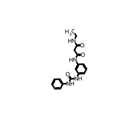 CCNC(=O)CC(=O)Nc1cccc(NC(=O)Nc2ccccc2)c1